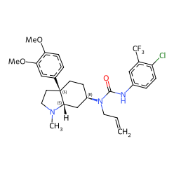 C=CCN(C(=O)Nc1ccc(Cl)c(C(F)(F)F)c1)[C@@H]1CC[C@@]2(c3ccc(OC)c(OC)c3)CCN(C)[C@H]2C1